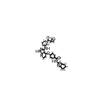 CC1(C(=O)N2CCC[C@@H](Nc3n[nH]c4nccc(Oc5ccc(C(=O)Nc6nc7ccccc7s6)cc5)c34)C2)COC1